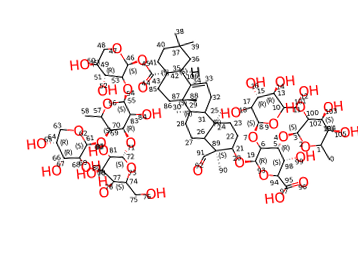 CC1O[C@@H](O[C@H]2C(O[C@@H]3OC(CO)[C@H](O)[C@@H](O)C3O)[C@H](OC3CC[C@@]4(C)C(CC[C@]5(C)C4CC=C4[C@@H]6CC(C)(C)CC[C@]6(C(=O)O[C@@H]6OC[C@H](O)[C@@H](O)C6O[C@@H]6OC(C)[C@H](O[C@@H]7OC[C@@H](O)[C@@H](O)C7O)[C@H](O[C@@H]7OC(CO)[C@@H](O)[C@@H](O)C7O)C6O)CC[C@]45C)[C@]3(C)C=O)OC(C(=O)O)[C@H]2O)C(O)[C@@H](O)[C@H]1O